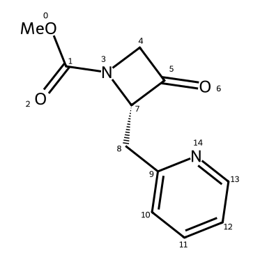 COC(=O)N1CC(=O)[C@@H]1Cc1ccccn1